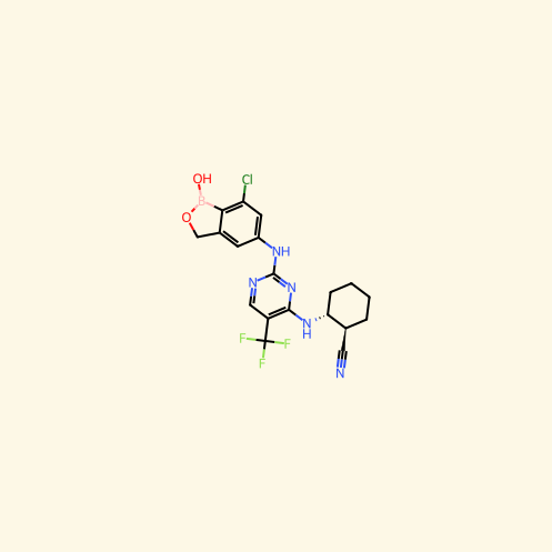 N#C[C@@H]1CCCC[C@H]1Nc1nc(Nc2cc(Cl)c3c(c2)COB3O)ncc1C(F)(F)F